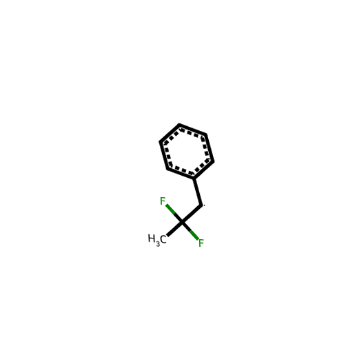 CC(F)(F)[CH]c1ccccc1